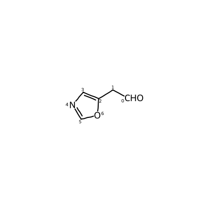 O=CCc1cnco1